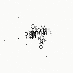 C[C@H](NC(=O)O)[C@@H](Nc1nc(Nc2cnc(N3CCOCC3)c(F)c2)c(C(N)=O)cc1F)c1ccccc1